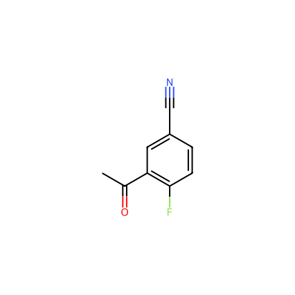 CC(=O)c1cc(C#N)ccc1F